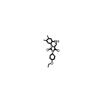 CCOc1ccc(-n2c(=O)c3c[nH]c4cc(C)c(C)cc4n-3c2=O)cc1